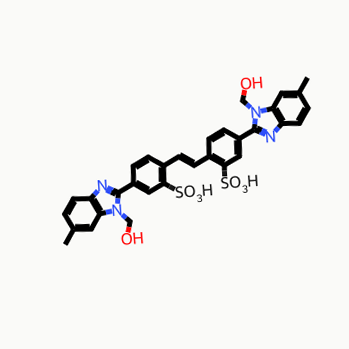 Cc1ccc2nc(-c3ccc(C=Cc4ccc(-c5nc6ccc(C)cc6n5CO)cc4S(=O)(=O)O)c(S(=O)(=O)O)c3)n(CO)c2c1